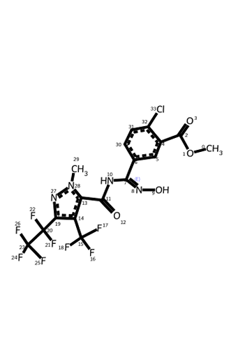 COC(=O)c1cc(/C(=N\O)NC(=O)c2c(C(F)(F)F)c(C(F)(F)C(F)(F)F)nn2C)ccc1Cl